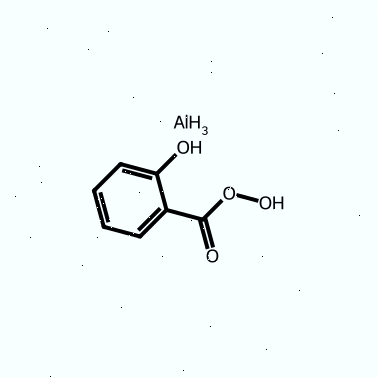 O=C(OO)c1ccccc1O.[AlH3]